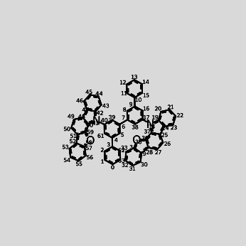 c1ccc(-c2cc(-c3cc(-c4ccccc4)cc(-n4c5ccccc5c5ccc6c7ccccc7oc6c54)c3)cc(-n3c4ccccc4c4ccc5c6ccccc6oc5c43)c2)cc1